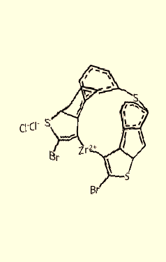 BrC1=[C]2[Zr+2][C]3=C(Br)SC4C=c5c(cccc5=C34)Sc3cccc4c3=CC(S1)C=42.[Cl-].[Cl-]